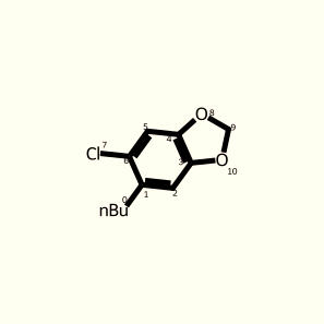 CCCCc1cc2c(cc1Cl)OCO2